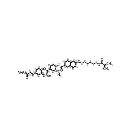 C=C(C)C(=O)OCCCCCCOc1ccc2cc(C(=O)Oc3ccc(C(=O)Oc4ccc(/C=C/C(=O)OC)cc4OC)cc3C)ccc2c1